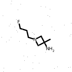 CC1(N)CN(CCCF)C1